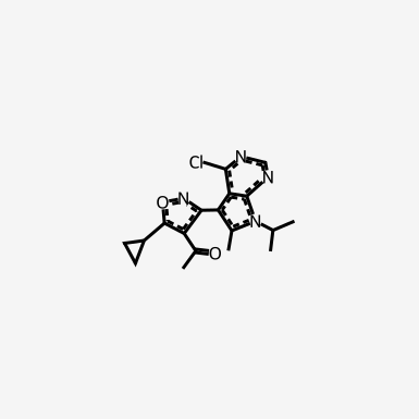 CC(=O)c1c(-c2c(C)n(C(C)C)c3ncnc(Cl)c23)noc1C1CC1